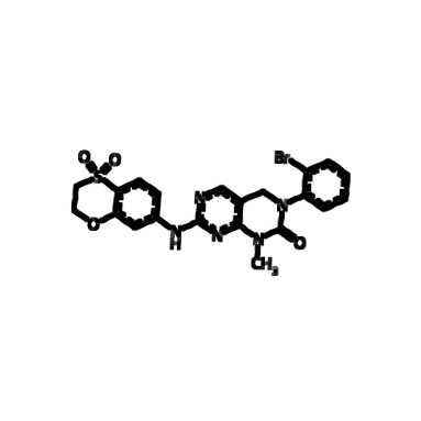 CN1C(=O)N(c2ccccc2Br)Cc2cnc(Nc3ccc4c(c3)OCCS4(=O)=O)nc21